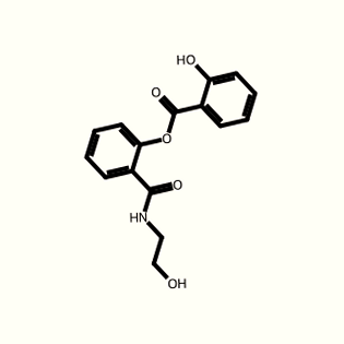 O=C(Oc1ccccc1C(=O)NCCO)c1ccccc1O